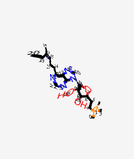 C=P(C)(C)CCC1O[C@@H](n2cnc3c(CC/C=C(/C)CC)ncnc32)[C@H](O)[C@@H]1O